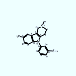 CN1CCc2c(c3cc(F)ccc3n2-c2cccc(F)c2)C1